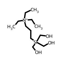 CC[N+](CC)(CC)CCC[Si](CO)(CO)CO